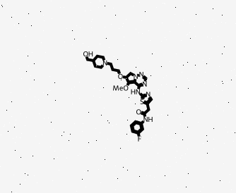 COC1=C2C(Nc3ncc(CC(=O)Nc4cccc(F)c4)s3)=NC=NN2CC1OCCCN1CCC(CO)CC1